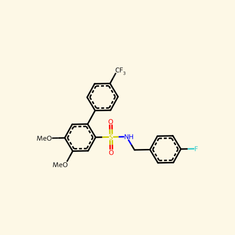 COc1cc(-c2ccc(C(F)(F)F)cc2)c(S(=O)(=O)NCc2ccc(F)cc2)cc1OC